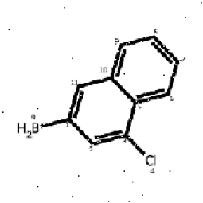 Bc1cc(Cl)c2ccccc2c1